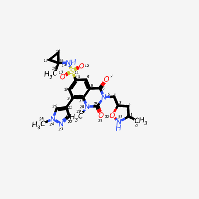 CC1CC(Cn2c(=O)c3cc(S(=O)(=O)NC4(C)CC4)cc(-c4cnn(C)c4)c3n(C)c2=O)ON1